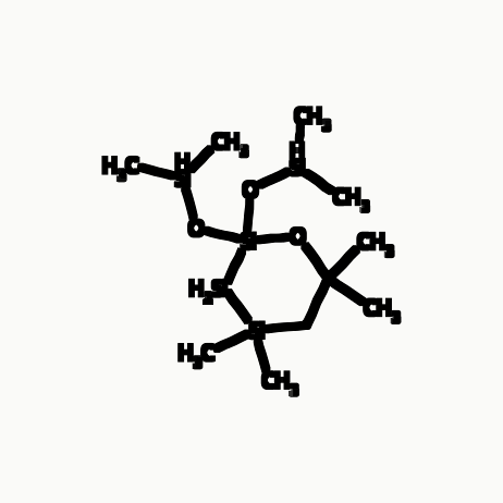 C[SiH](C)O[Si]1(O[SiH](C)C)OC(C)(C)C[Si](C)(C)[SiH2]1